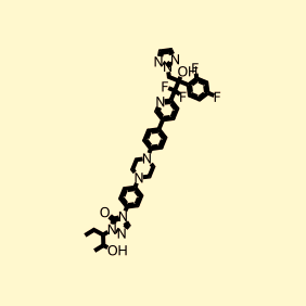 CCC(C(C)O)n1ncn(-c2ccc(N3CCN(c4ccc(-c5ccc(C(F)(F)C(O)(Cn6nccn6)c6ccc(F)cc6F)nc5)cc4)CC3)cc2)c1=O